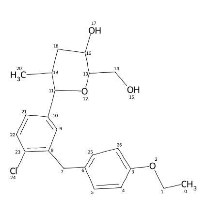 CCOc1ccc(Cc2cc(C3OC(CO)C(O)CC3C)ccc2Cl)cc1